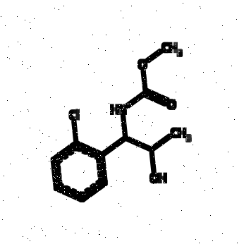 COC(=O)NC(c1ccccc1Cl)C(C)O